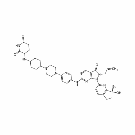 C=CCn1c(=O)c2cnc(Nc3ccc(N4CCN(C5CCC(NC6CCC(=O)NC6=O)CC5)CC4)cc3)nc2n1-c1ccc2c(n1)[C@@](O)(CC)CC2